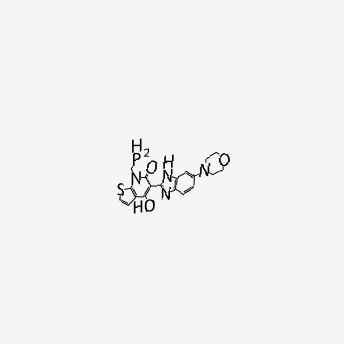 O=c1c(-c2nc3ccc(N4CCOCC4)cc3[nH]2)c(O)c2ccsc2n1CP